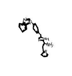 N[C@@H](Cc1ccccn1)c1ncc(Cc2ccc(-n3cnc4ccccc43)cc2)[nH]1